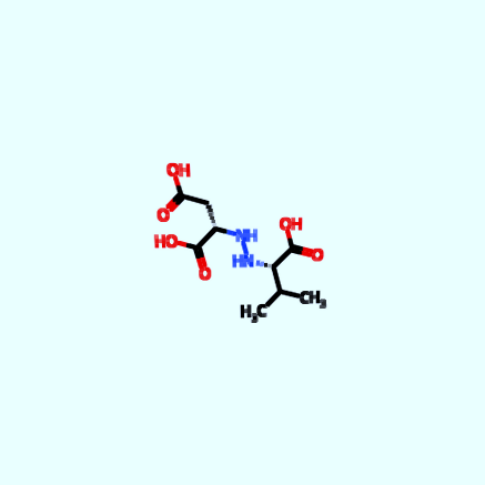 CC(C)[C@H](NN[C@@H](CC(=O)O)C(=O)O)C(=O)O